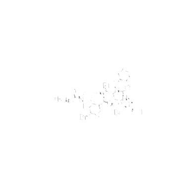 CC[C@H](c1cc2c(Br)c(C)nn2c(=O)n1Cc1ccccc1)N(CCCNC(=O)OC(C)(C)C)C(=O)c1ccc(Br)cc1